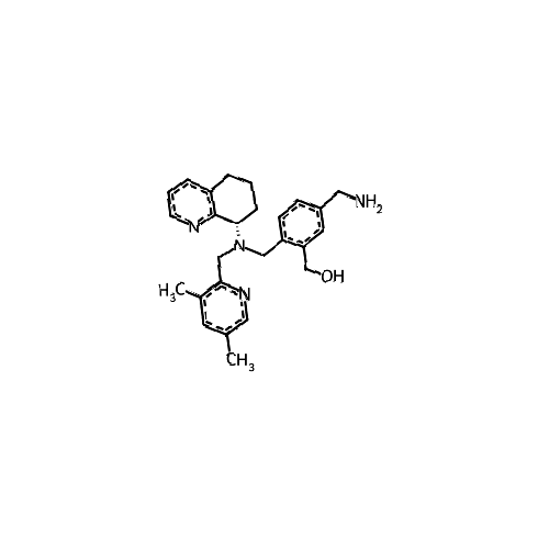 Cc1cnc(CN(Cc2ccc(CN)cc2CO)[C@H]2CCCc3cccnc32)c(C)c1